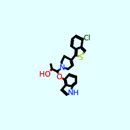 CC(O)C(Oc1cccc2[nH]ccc12)N1CC=C(c2scc3c(Cl)cccc23)CC1